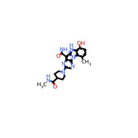 CNC(=O)C1CCN(c2cnc3c(n2)c(C(N)=O)c2[nH]c4c(O)ccc(C)c4n23)CC1